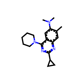 Cc1cc2nc(C3CC3)nc(N3CCCCC3)c2cc1N(C)C